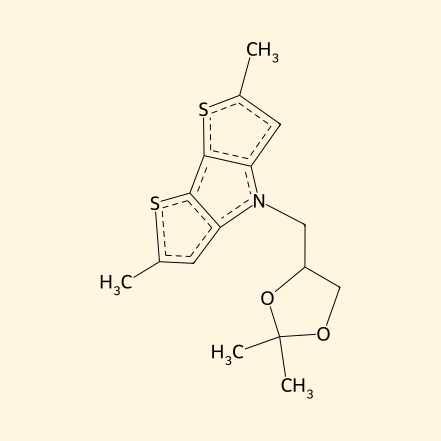 Cc1cc2c(s1)c1sc(C)cc1n2CC1COC(C)(C)O1